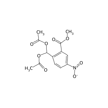 COC(=O)c1cc([N+](=O)[O-])ccc1C(OC(C)=O)OC(C)=O